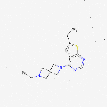 CC(C)CN1CC2(C1)CN(c1ncnc3sc(CC(F)(F)F)cc13)C2